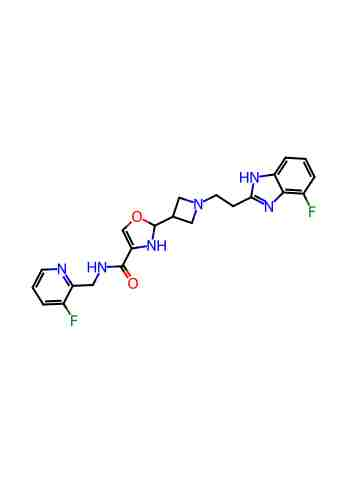 O=C(NCc1ncccc1F)C1=COC(C2CN(CCc3nc4c(F)cccc4[nH]3)C2)N1